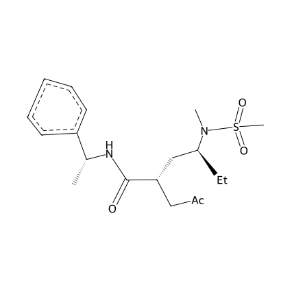 CC[C@@H](C[C@H](CC(C)=O)C(=O)N[C@H](C)c1ccccc1)N(C)S(C)(=O)=O